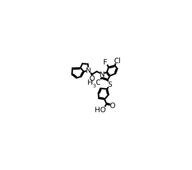 Cc1c(Sc2cccc(C(=O)O)c2)c2ccc(Cl)c(F)c2n1CC(=O)N1CCc2ccccc21